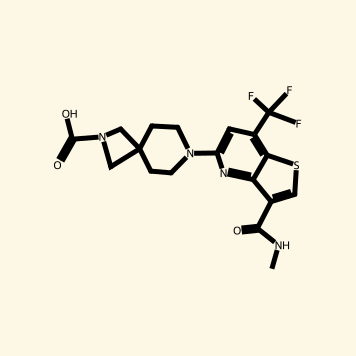 CNC(=O)c1csc2c(C(F)(F)F)cc(N3CCC4(CC3)CN(C(=O)O)C4)nc12